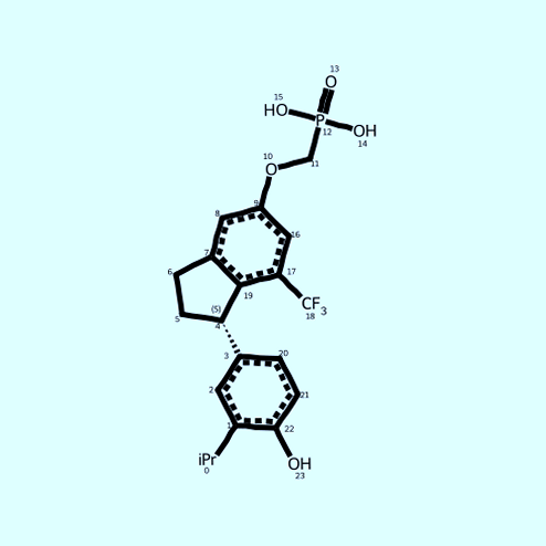 CC(C)c1cc([C@@H]2CCc3cc(OCP(=O)(O)O)cc(C(F)(F)F)c32)ccc1O